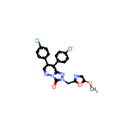 COc1cnc(Cn2nc3c(-c4ccc(Cl)cc4)c(-c4ccc(Cl)cc4)cnn3c2=O)o1